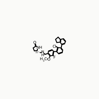 COc1c(CNC[C@@H]2CCC(=O)N2)ccc(-c2cccc(-c3cccc4c3CCC4)c2Cl)c1F